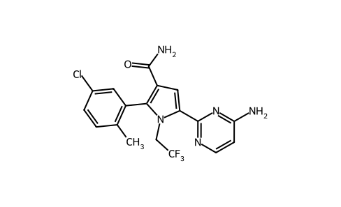 Cc1ccc(Cl)cc1-c1c(C(N)=O)cc(-c2nccc(N)n2)n1CC(F)(F)F